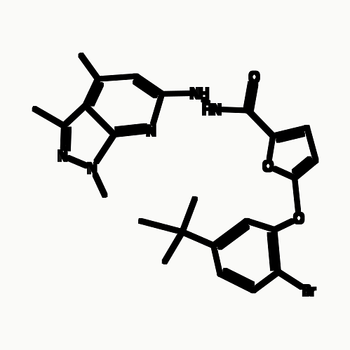 Cc1cc(NNC(=O)c2ccc(Oc3cc(C(C)(C)C)ccc3Br)o2)nc2c1c(C)nn2C